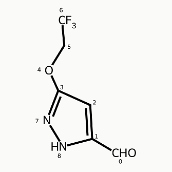 O=Cc1cc(OCC(F)(F)F)n[nH]1